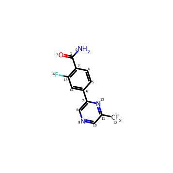 NC(=O)c1ccc(-c2cncc(C(F)(F)F)n2)cc1F